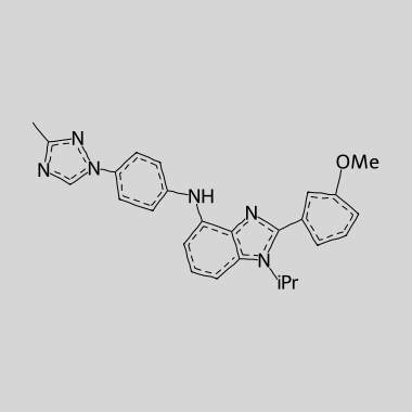 COc1cccc(-c2nc3c(Nc4ccc(-n5cnc(C)n5)cc4)cccc3n2C(C)C)c1